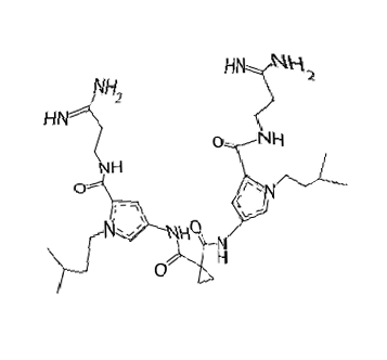 CC(C)CCn1cc(NC(=O)C2(C(=O)Nc3cc(C(=O)NCCC(=N)N)n(CCC(C)C)c3)CC2)cc1C(=O)NCCC(=N)N